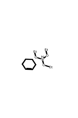 C1=CCCCC1.CCO[SiH](OCC)OCC